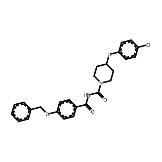 O=C(NC(=O)N1CCC(Oc2ccc(Cl)cc2)CC1)c1ccc(OCc2ccccc2)cc1